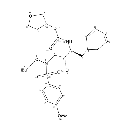 CCC(C)ON(C[C@@H](O)[C@H](Cc1ccccc1)NC(=O)OC1CCOC1)S(=O)(=O)c1ccc(OC)cc1